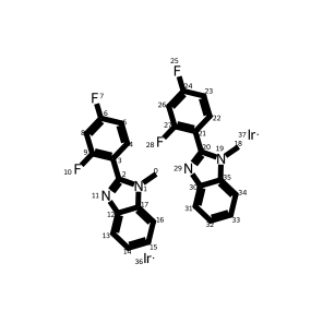 Cn1c(-c2ccc(F)cc2F)nc2ccccc21.Cn1c(-c2ccc(F)cc2F)nc2ccccc21.[Ir].[Ir]